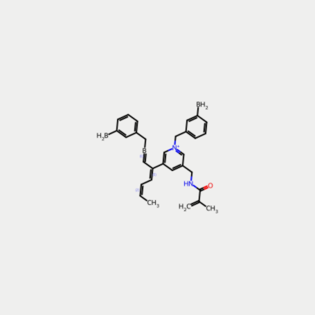 Bc1cccc(C/B=C/C(=C\C=C/C)c2cc(CNC(=O)C(=C)C)c[n+](Cc3cccc(B)c3)c2)c1